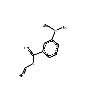 CCCCN(c1cccc(C(=N)SC=N)c1)C(C)(C)C